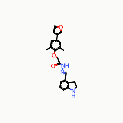 Cc1cc(-c2ccoc2)cc(C)c1OCC(=O)N/N=C/c1cccc2c1CCN2